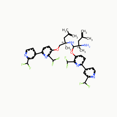 C=C(C)C[C@](C)(COc1ccc(-c2ccnc(C(F)F)c2)nc1C(F)F)NC(Oc1ccc(-c2ccnc(C(F)F)c2)nc1C(F)F)[C@@](C)(N)CC(=C)C